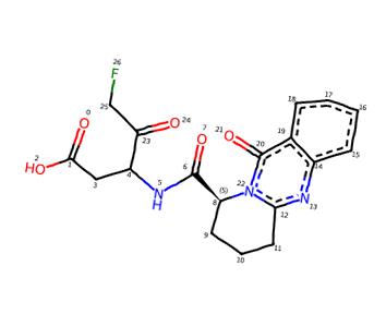 O=C(O)CC(NC(=O)[C@@H]1CCCc2nc3ccccc3c(=O)n21)C(=O)CF